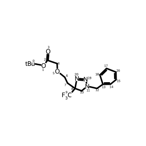 CC(C)(C)OC(=O)COCCC1(C(F)(F)F)CN(Cc2ccccc2)N=N1